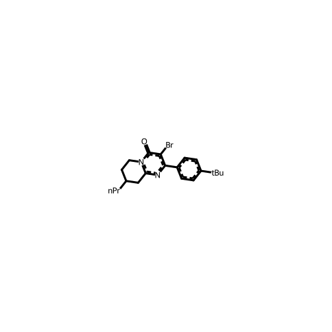 CCCC1CCn2c(nc(-c3ccc(C(C)(C)C)cc3)c(Br)c2=O)C1